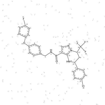 O=C(NCc1ccc(Oc2ccc(F)cc2)cc1)c1cnn2c1NC(c1ccc(Cl)cc1)CC2C(F)(F)F